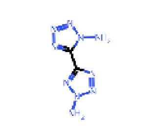 Nn1nnc(-c2nnnn2N)n1